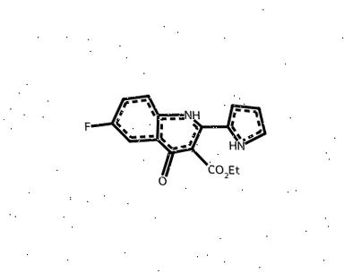 CCOC(=O)c1c(-c2ccc[nH]2)[nH]c2ccc(F)cc2c1=O